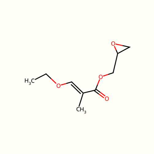 CCOC=C(C)C(=O)OCC1CO1